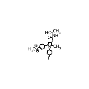 Cc1c(CC(=O)NC(C)O)cc(-c2ccc(S(C)(=O)=O)cc2)n1-c1ccc(F)cc1